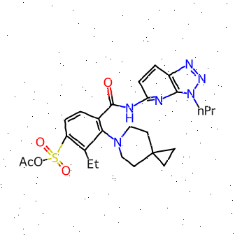 CCCn1nnc2ccc(NC(=O)c3ccc(S(=O)(=O)OC(C)=O)c(CC)c3N3CCC4(CC3)CC4)nc21